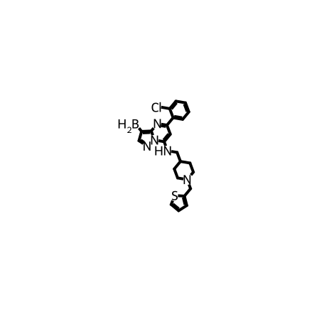 Bc1cnn2c(NCC3CCN(Cc4cccs4)CC3)cc(-c3ccccc3Cl)nc12